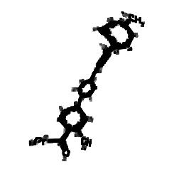 CCCC(=O)c1ccc(-c2ccc(C#Cc3ccc(C)cc3)cc2)cc1O